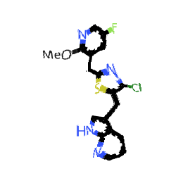 COc1ncc(F)cc1[CH]c1nc(Cl)c(Cc2c[nH]c3ncccc23)s1